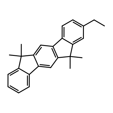 CCc1ccc2c(c1)C(C)(C)c1cc3c(cc1-2)C(C)(C)c1ccccc1-3